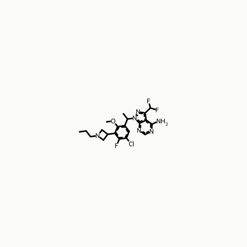 CCCN1CC(c2c(F)c(Cl)cc(C(C)n3nc(C(F)F)c4c(N)ncnc43)c2OC)C1